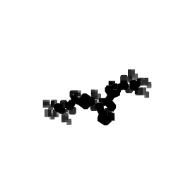 CN(C(=O)OC(C)(C)C)C1CC(C)(Oc2nc(-c3cnn(C(=O)OC(C)(C)C)c3)cn3nccc23)C1